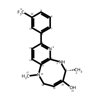 C[C@H]1Nc2nc(-c3cccc(C(F)(F)F)c3)ccc2N(C)CC=C1O